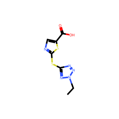 CCn1nnc(Sc2ncc(C(=O)O)s2)n1